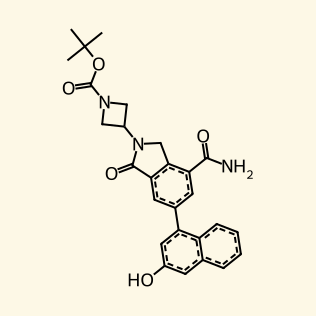 CC(C)(C)OC(=O)N1CC(N2Cc3c(C(N)=O)cc(-c4cc(O)cc5ccccc45)cc3C2=O)C1